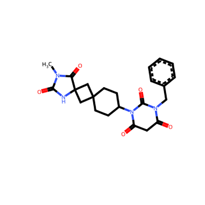 CN1C(=O)NC2(CC3(CCC(N4C(=O)CC(=O)N(Cc5ccccc5)C4=O)CC3)C2)C1=O